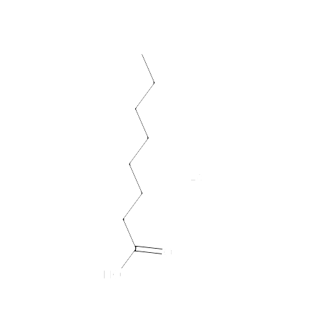 CCCCCCCC(=O)O.[La]